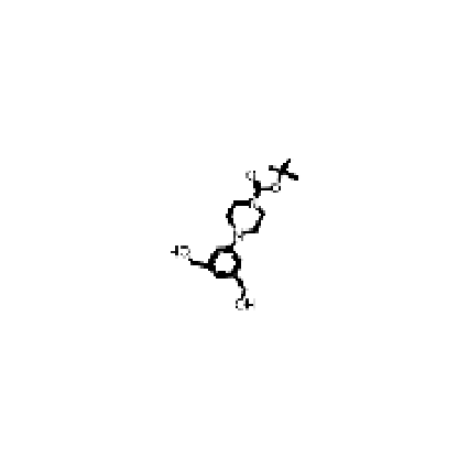 CC(C)(C)OC(=O)N1CCN(c2cc(CO)cc(CO)c2)CC1